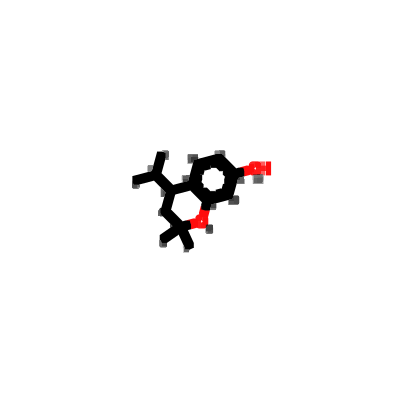 CC(C)C1CC(C)(C)Oc2cc(O)ccc21